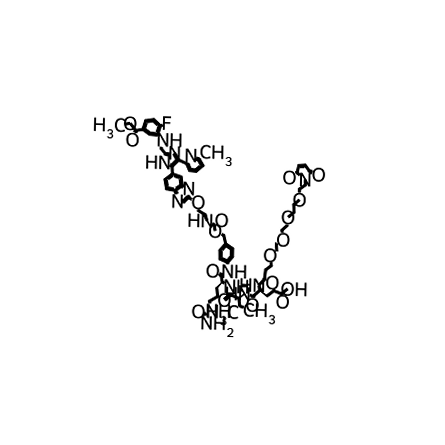 COC(=O)c1ccc(F)c(NCc2nc(-c3cccc(C)n3)c(-c3ccc4ncc(OCCNC(=O)OCc5ccc(NC(=O)[C@H](CCCNC(N)=O)NC(=O)[C@@H](NC(=O)[C@H](CCC(=O)O)NC(=O)CCOCCOCCOCCOCCN6C(=O)C=CC6=O)C(C)C)cc5)nc4c3)[nH]2)c1